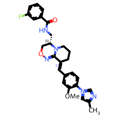 COc1cc(/C=C2\CCCN3C2=NOC[C@@H]3CNC(=O)c2cccc(F)c2)ccc1-n1cnc(C)c1